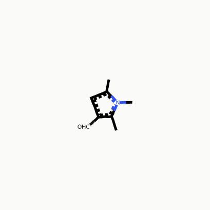 Cc1cc(C=O)c(C)n1C